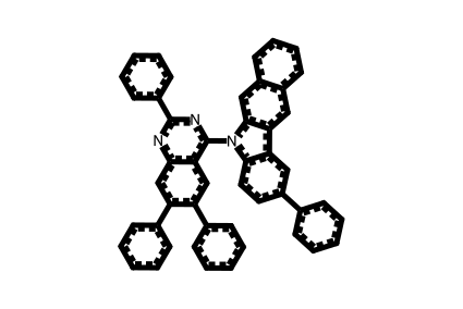 c1ccc(-c2ccc3c(c2)c2cc4ccccc4cc2n3-c2nc(-c3ccccc3)nc3cc(-c4ccccc4)c(-c4ccccc4)cc23)cc1